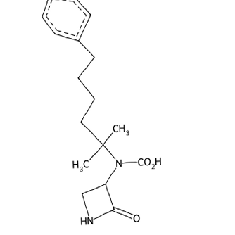 CC(C)(CCCCc1ccccc1)N(C(=O)O)C1CNC1=O